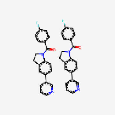 O=C(c1ccc(F)cc1)N1CCc2cc(-c3cccnc3)ccc21.O=C(c1ccc(F)cc1)N1CCc2cc(-c3cccnc3)ccc21